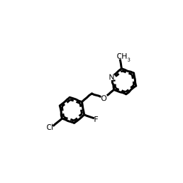 Cc1cccc(OCc2ccc(Cl)cc2F)n1